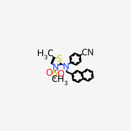 CC1=CN(S(C)(=O)=O)C(N(Cc2ccc3ccccc3c2)c2ccc(C#N)cc2)S1